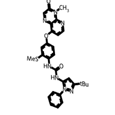 CSc1cc(Oc2ccnc3c2ncc(=O)n3C)ccc1NC(=O)Nc1cc(C(C)(C)C)nn1-c1ccccc1